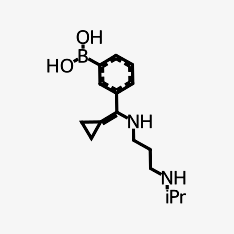 CC(C)NCCCNC(=C1CC1)c1cccc(B(O)O)c1